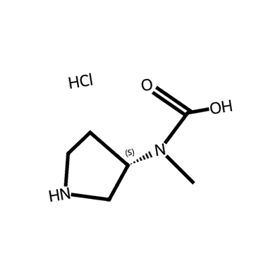 CN(C(=O)O)[C@H]1CCNC1.Cl